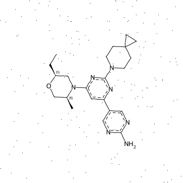 CC[C@H]1CN(c2cc(-c3cnc(N)nc3)nc(N3CCC4(CC3)CC4)n2)[C@@H](C)CO1